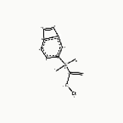 C=C(OCC)[Si](C)(C)c1ccc2c(c1)C=C2